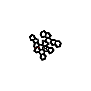 CN1C(c2cccc3c2sc2ccccc23)=NC(c2c(-c3ccc4ccccc4c3)ccc3ccccc23)=NC1c1ccccc1-c1cc2ccccc2c2ccccc12